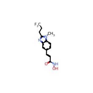 Cn1c(CCC(F)(F)F)nc2cc(/C=C/C(=O)NO)ccc21